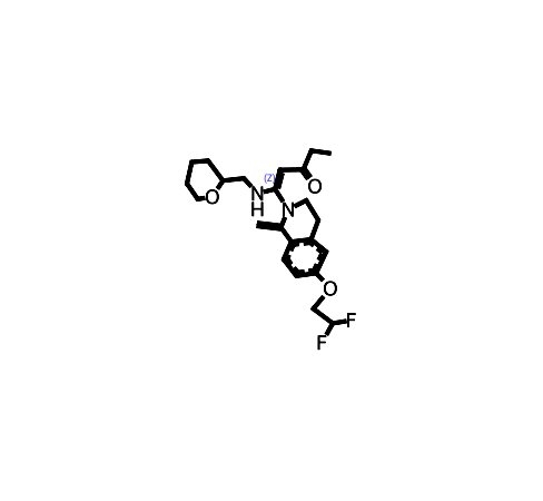 C=C1c2ccc(OCC(F)F)cc2CCN1/C(=C\C(=O)CC)NCC1CCCCO1